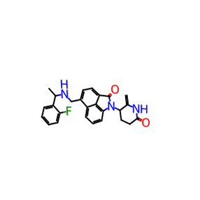 C=C1NC(=O)CCC1N1C(=O)c2ccc(CNC(C)c3ccccc3F)c3cccc1c23